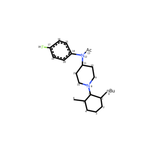 CCCCC1CCCC(C)C1N1CCC(N(C(C)=O)c2ccc(F)cc2)CC1